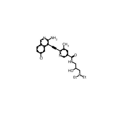 CCN(CC)CC(O)CNC(=O)c1cnc(C#Cc2c(N)ncc3ccc(Cl)cc23)c(C)c1